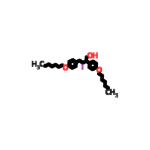 CCCCCCCOc1ccc(CC(I)C(CO)c2ccc(OCCCCCCC)cc2)cc1